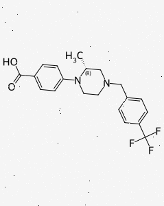 C[C@@H]1CN(Cc2ccc(C(F)(F)F)cc2)CCN1c1ccc(C(=O)O)cc1